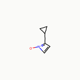 [O-][N+]1=C(C2CC2)C=C1